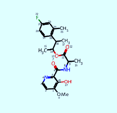 COc1ccnc(C(=O)NC(C)C(=O)OC(C)C(C)c2ccc(F)cc2C)c1O